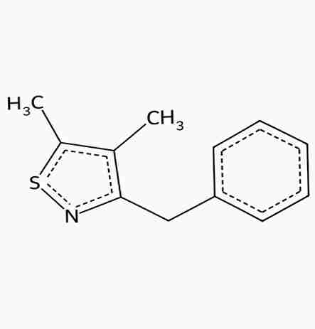 Cc1snc(Cc2ccccc2)c1C